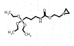 CCO[Si](CCCNC(=O)OCCN1CC1)(OCC)OCC